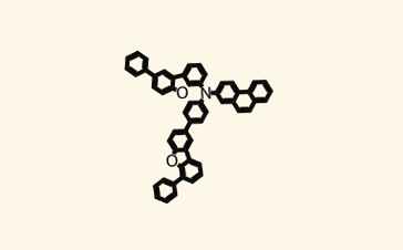 c1ccc(-c2ccc3oc4c(N(c5ccc(-c6ccc7oc8c(-c9ccccc9)cccc8c7c6)cc5)c5ccc6c(ccc7ccccc76)c5)cccc4c3c2)cc1